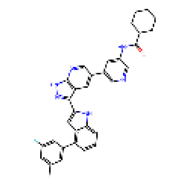 Cc1cc(F)cc(-c2cccc3[nH]c(-c4n[nH]c5ncc(-c6cncc(NC(=O)C7CCCCC7)c6)cc45)cc23)c1